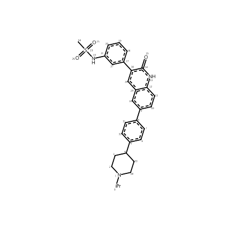 CC(C)N1CCC(c2ccc(-c3ccc4[nH]c(=O)c(-c5cccc(NS(C)(=O)=O)c5)cc4c3)cc2)CC1